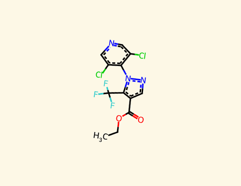 CCOC(=O)c1cnn(-c2c(Cl)cncc2Cl)c1C(F)(F)F